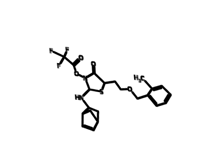 Cc1ccccc1COCCC1SC(NC2CC3C=CC2C3)N(OC(=O)C(F)(F)F)C1=O